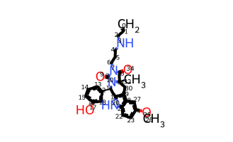 C=CCNCCCN1C(=O)N2[C@H](c3cccc(O)c3)c3[nH]c4ccc(OC)cc4c3C[C@@]2(C)C1=O